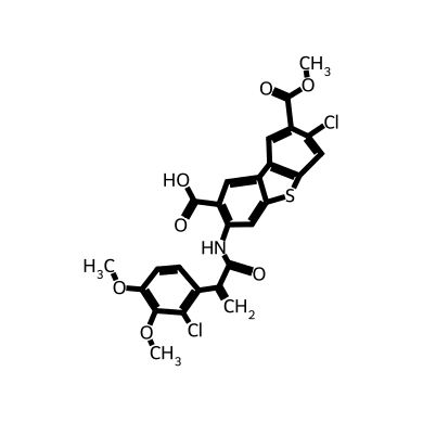 C=C(C(=O)Nc1cc2sc3cc(Cl)c(C(=O)OC)cc3c2cc1C(=O)O)c1ccc(OC)c(OC)c1Cl